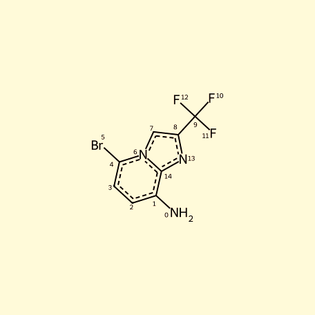 Nc1ccc(Br)n2cc(C(F)(F)F)nc12